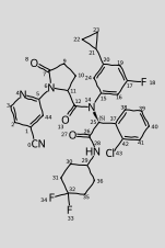 N#Cc1ccnc(N2C(=O)CCC2C(=O)N(c2cc(F)cc(C3CC3)c2)[C@H](C(=O)NC2CCC(F)(F)CC2)c2ccccc2Cl)c1